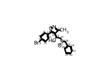 Cc1noc(-c2ccc(Br)cc2)c1C(O)C[S@@+]([O-])Cc1ccccc1